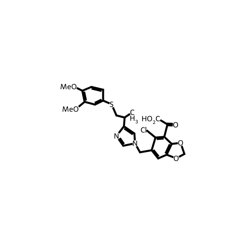 COc1ccc(SCC(C)c2cn(Cc3cc4c(c(C(=O)C(=O)O)c3Cl)OCO4)cn2)cc1OC